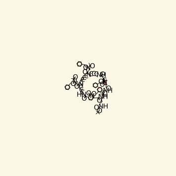 CC(=O)N(CC(=O)N1CCCCN(C(=O)CN(OCc2ccccc2)C(C)=O)CCCNC(=O)c2ccc(n(OCc3ccccc3)c2=O)C(=O)N[C@@H](CCCCNC(=O)OC(C)(C)C)CNC(=O)c2ccc(c(=O)n2OCc2ccccc2)C(=O)NCCC1)OCc1ccccc1